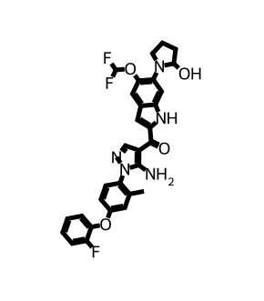 Cc1cc(Oc2ccccc2F)ccc1-n1ncc(C(=O)c2cc3cc(OC(F)F)c(N4CCCC4O)cc3[nH]2)c1N